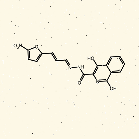 O=C(NN=CC=Cc1ccc([N+](=O)[O-])o1)c1nc(O)c2ccccc2c1O